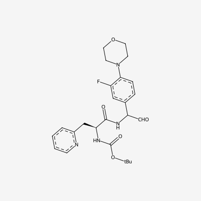 CC(C)(C)OC(=O)N[C@@H](Cc1ccccn1)C(=O)NC(C=O)c1ccc(N2CCOCC2)c(F)c1